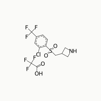 O=C(O)C(F)(F)F.O=S(=O)(CC1CNC1)c1ccc(C(F)(F)F)cc1Cl